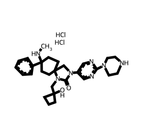 CNC1(c2ccccc2)CCC2(CC1)CN(c1cnc(N3CCNCC3)nc1)C(=O)N2CC1(O)CCC1.Cl.Cl